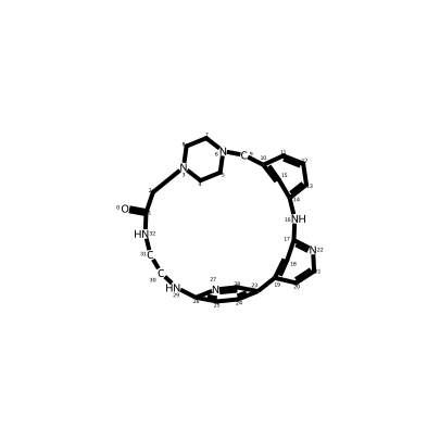 O=C1CN2CCN(CC2)Cc2cccc(c2)Nc2cc(ccn2)-c2ccc(nc2)NCCN1